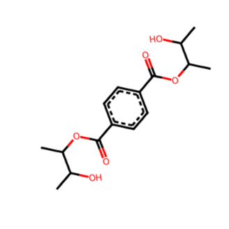 CC(O)C(C)OC(=O)c1ccc(C(=O)OC(C)C(C)O)cc1